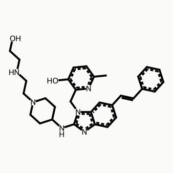 Cc1ccc(O)c(Cn2c(NC3CCN(CCNCCO)CC3)nc3ccc(/C=C/c4ccccc4)cc32)n1